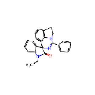 CCN1C(=O)C2(N=C(c3ccccc3)N3CCc4cccc2c43)c2ccccc21